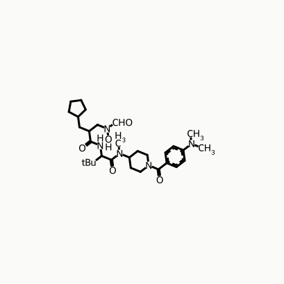 CN(C)c1ccc(C(=O)N2CCC(N(C)C(=O)C(NC(=O)C(CC3CCCC3)CN(O)C=O)C(C)(C)C)CC2)cc1